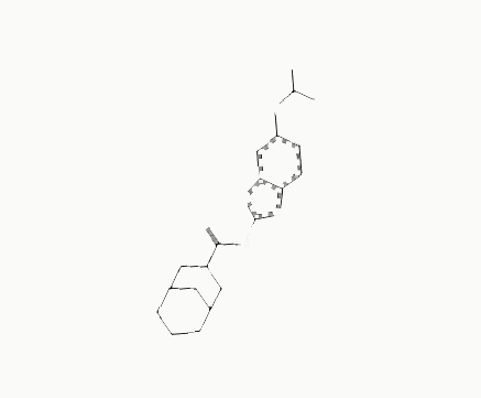 O=C(Nc1nc2ccc(OC(F)F)cc2s1)C1CC2CCCC(C2)C1